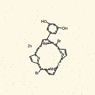 Oc1cc(O)cc(-c2cc3cc4nc(c(Br)c5ccc(cc6nc(c(Br)c2[nH]3)C=C6)[nH]5)C=C4)c1.[Zn]